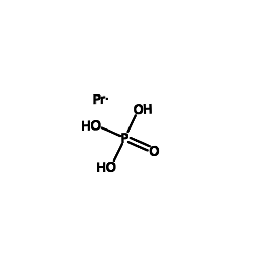 O=P(O)(O)O.[Pr]